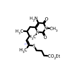 CCOC(=O)CCCS/C(C)=C\CC(C)Cc1c(N)c(=O)n(C)c(=O)n1C